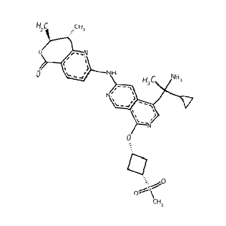 C[C@@H]1OC(=O)c2ccc(Nc3cc4c(C(C)(N)C5CC5)cnc(O[C@H]5C[C@@H](S(C)(=O)=O)C5)c4cn3)nc2[C@H]1C